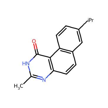 Cc1nc2ccc3cc(C(C)C)ccc3c2c(=O)[nH]1